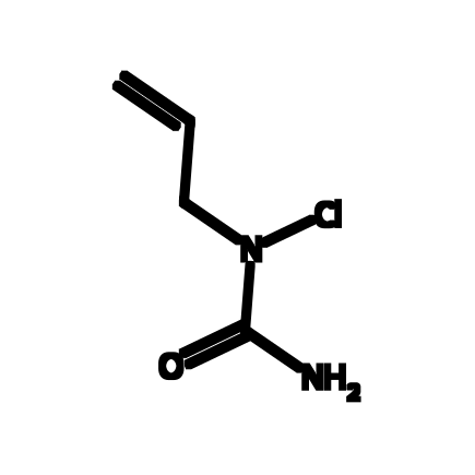 C=CCN(Cl)C(N)=O